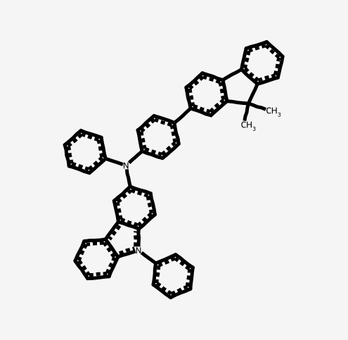 CC1(C)c2ccccc2-c2ccc(-c3ccc(N(c4ccccc4)c4ccc5c(c4)c4ccccc4n5-c4ccccc4)cc3)cc21